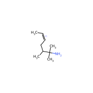 C/C=C\CC(C)C(C)(C)N